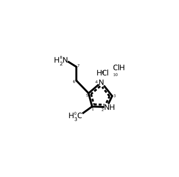 Cc1[nH]cnc1CCN.Cl.Cl